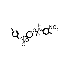 Cc1ccc(CN2CC3(CCN(OC(=O)Nc4ccc(C)c([N+](=O)[O-])c4)CC3)OC2=O)cc1